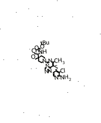 Cc1nc(N2CCC3(CC2)CO[C@@H](C)[C@H]3NC(=O)OC(C)(C)C)n2cnnc2c1Sc1ccnc(N)c1Cl